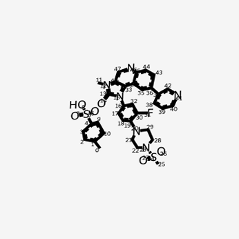 Cc1ccc(S(=O)(=O)O)cc1.Cn1c(=O)n(-c2ccc(N3CCN(S(C)(=O)=O)CC3)c(F)c2)c2c3cc(-c4cccnc4)ccc3ncc21